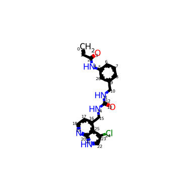 C=CC(=O)Nc1cccc(CNC(=O)NCc2ccnc3[nH]cc(Cl)c23)c1